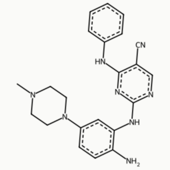 CN1CCN(c2ccc(N)c(Nc3ncc(C#N)c(Nc4ccccc4)n3)c2)CC1